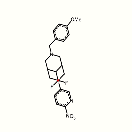 COc1ccc(CN2CC3CN(c4ccc([N+](=O)[O-])nc4)CC(C2)C3C(F)F)cc1